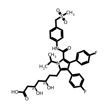 CC(C)n1c(CC[C@@H](O)C[C@@H](O)CC(=O)O)c(-c2ccc(F)cc2)c(-c2ccc(F)cc2)c1C(=O)Nc1ccc(CS(C)(=O)=O)cc1